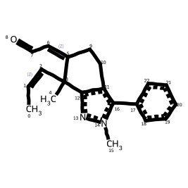 C/C=C\C1(C)/C(=C\C=O)CCc2c1nn(C)c2-c1ccccc1